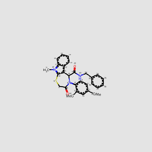 COc1ccc(N2C(=O)CSc3c(c4ccccc4n3C)C2C(=O)NCc2ccccc2)c(OC)c1